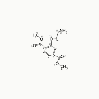 COC(=O)c1ccc(C(=O)OC)c(OCCN)c1